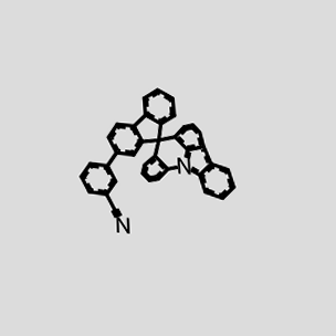 N#Cc1cccc(-c2ccc3c(c2)C2(c4ccccc4-3)c3ccccc3-n3c4ccccc4c4cccc2c43)c1